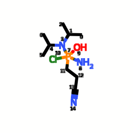 CC(C)N(C(C)C)P(N)(O)(Cl)CCC#N